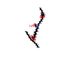 CCCCCCCCC(CCCCCCC)OC(=O)CCCCCCCN(CCO)CCCCCCCC(=O)OC(C)(CC)CCCCC